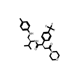 Cc1ccc(NC[C@@H](NC(=O)[C@H](CC(=O)N2CCOCC2)c2ccc(C(F)(F)F)cc2)C(C)C)cc1